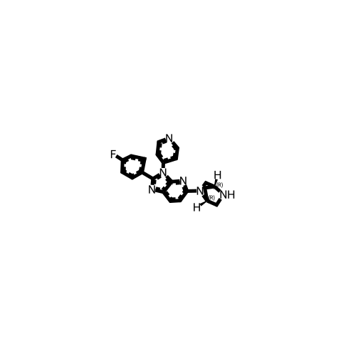 Fc1ccc(-c2nc3ccc(N4C[C@H]5C[C@@H]4CN5)nc3n2-c2ccncc2)cc1